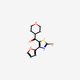 O=C(c1sc(Br)nc1-c1ccco1)C1CCOCC1